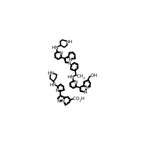 C[C@H](Nc1cccc(-c2cnn3ccc(CO)cc23)n1)c1ccccc1.O=C(O)c1ccn2ncc(-c3cccc(NC4CCNCC4)n3)c2c1.c1cc(NC2CCNCC2)nc(-c2cnn3ccccc23)c1